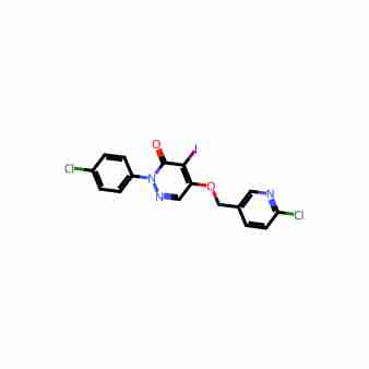 O=c1c(I)c(OCc2ccc(Cl)nc2)cnn1-c1ccc(Cl)cc1